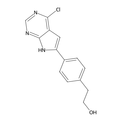 OCCc1ccc(-c2cc3c(Cl)ncnc3[nH]2)cc1